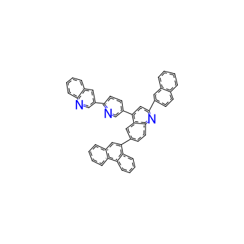 c1ccc2cc(-c3cc(-c4ccc(-c5cnc6ccccc6c5)nc4)c4cc(-c5cc6ccccc6c6ccccc56)ccc4n3)ccc2c1